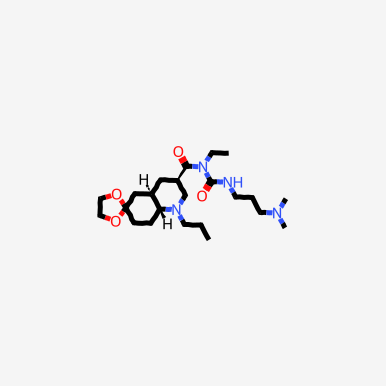 CCCN1C[C@H](C(=O)N(CC)C(=O)NCCCN(C)C)C[C@@H]2CC3(CC[C@H]21)OCCO3